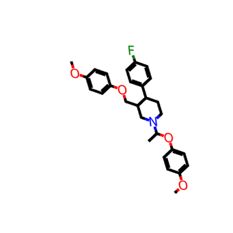 COc1ccc(OCC2CN(C(C)Oc3ccc(OC)cc3)CCC2c2ccc(F)cc2)cc1